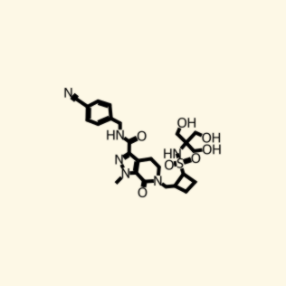 Cn1nc(C(=O)NCc2ccc(C#N)cc2)c2c1C(=O)N(CC1CCC1S(=O)(=O)NC(CO)(CO)CO)CC2